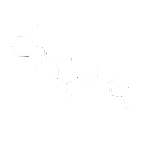 C=C(CNC(=O)c1cnn(C)c1)/N=C(\C)c1cc2c(C)cccc2[nH]1